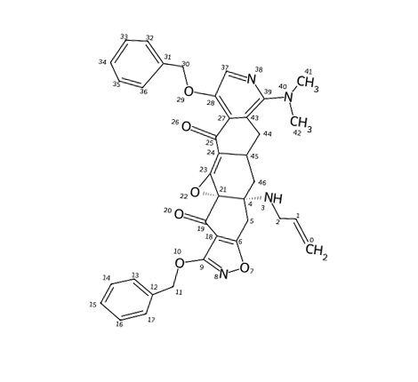 C=CCN[C@]12Cc3onc(OCc4ccccc4)c3C(=O)[C@]13OC3=C1C(=O)c3c(OCc4ccccc4)cnc(N(C)C)c3CC1C2